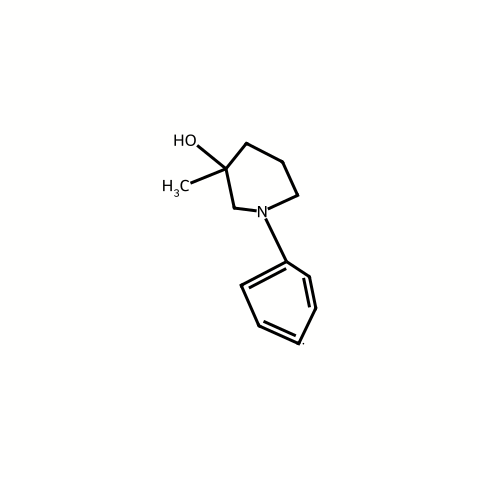 CC1(O)CCCN(c2cc[c]cc2)C1